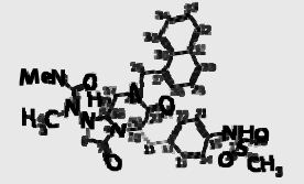 CNC(=O)N(C)N1CC(=O)N2[C@@H](Cc3ccc(NS(C)(=O)=O)cc3)C(=O)N(Cc3cccc4ccccc34)C[C@@H]21